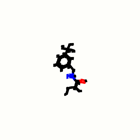 CCC(C)C(=O)NCc1cccc(C(C)(C)C)c1